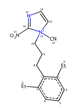 CCc1cccc(CC)c1CCC[N+]1(C#N)C=CN=C1[N+](=O)[O-]